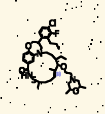 CCCc1c(C2COc3ccc4cc3N(CCC(CC)C(OCCN3CC(C)OC(C)C3)/C(C)=C/CCC(C)SNC4=O)C2)ccc(Cl)c1F